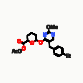 CCc1ccc(Cc2cnc(OC)nc2OC2CCCC(C(=O)OOC(C)=O)O2)cc1